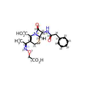 C/C(=N/OCC(=O)O)C1=C(C(=O)O)N2C(=O)[C@@H](NC(=O)Cc3ccccc3)[C@H]2SC1